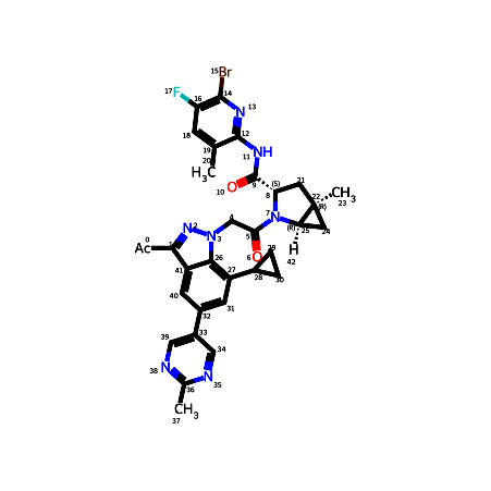 CC(=O)c1nn(CC(=O)N2[C@H](C(=O)Nc3nc(Br)c(F)cc3C)C[C@@]3(C)C[C@@H]23)c2c(C3CC3)cc(-c3cnc(C)nc3)cc12